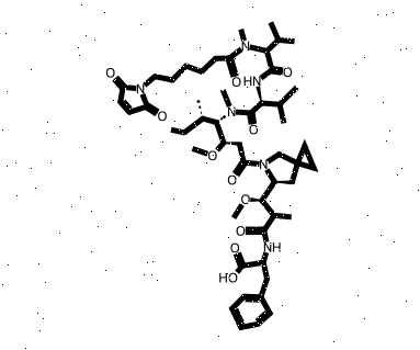 CC[C@H](C)[C@@H]([C@@H](CC(=O)N1CC2(CC2)C[C@H]1[C@H](OC)C(C)C(=O)NC(Cc1ccccc1)C(=O)O)OC)N(C)C(=O)[C@@H](NC(=O)C(C(C)C)N(C)C(=O)CCCCCN1C(=O)C=CC1=O)C(C)C